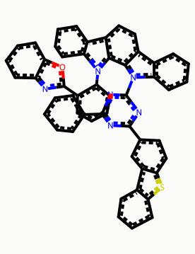 c1ccc(-c2nc(-c3ccc4sc5ccccc5c4c3)nc(-n3c4ccccc4c4ccc5c6ccccc6n(-c6ccccc6-c6nc7ccccc7o6)c5c43)n2)cc1